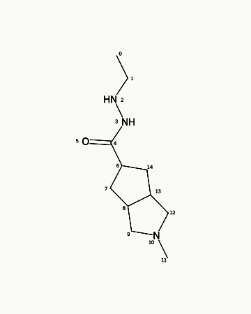 CCNNC(=O)C1CC2CN(C)CC2C1